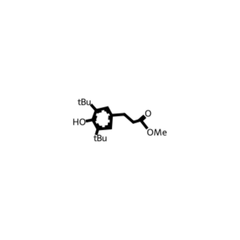 COC(=O)CCc1cc(C(C)(C)C)c(O)c(C(C)(C)C)c1